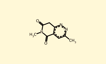 Cc1cc2c(nn1)CC(=O)N(C)C2=O